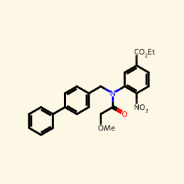 CCOC(=O)c1ccc([N+](=O)[O-])c(N(Cc2ccc(-c3ccccc3)cc2)C(=O)COC)c1